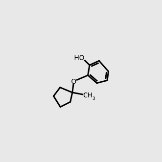 CC1(Oc2ccccc2O)CCCC1